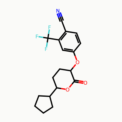 N#Cc1ccc(OC2CCC(C3CCCC3)OC2=O)cc1C(F)(F)F